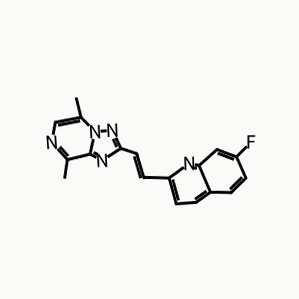 Cc1ncc(C)n2nc(C=Cc3ccc4ccc(F)cc4n3)nc12